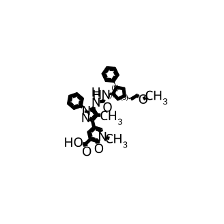 COCC[C@@H]1C[C@@H](NC(=O)Nc2c(C)c(-c3cc(C(=O)O)c(=O)n(C)c3)nn2-c2ccccc2)[C@H](c2ccccc2)C1